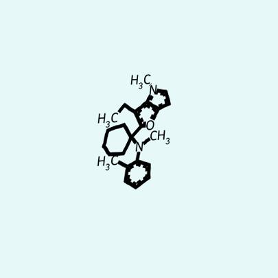 CCc1c(C2(N(C)c3ccccc3C)CCCCC2)oc2ccn(C)c12